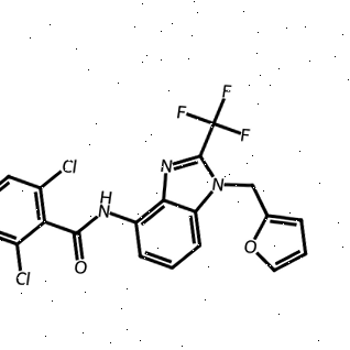 O=C(Nc1cccc2c1nc(C(F)(F)F)n2Cc1ccco1)c1c(Cl)cccc1Cl